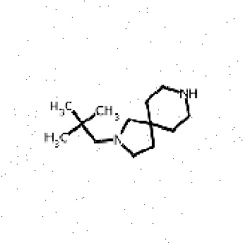 CC(C)(C)CN1CCC2(CCNCC2)C1